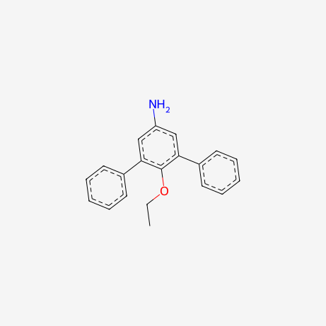 CCOc1c(-c2ccccc2)cc(N)cc1-c1ccccc1